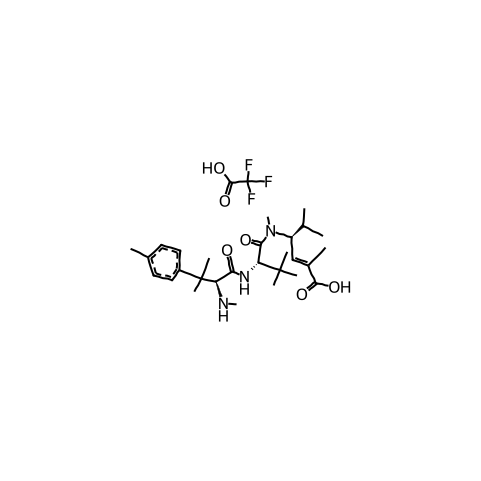 CN[C@H](C(=O)N[C@H](C(=O)N(C)[C@H](/C=C(\C)C(=O)O)C(C)C)C(C)(C)C)C(C)(C)c1ccc(C)cc1.O=C(O)C(F)(F)F